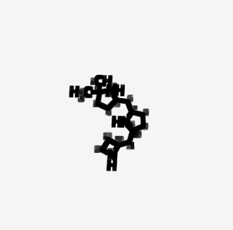 CC1(C)CCC(CC2CCC(CC3CCN3)N2)N1